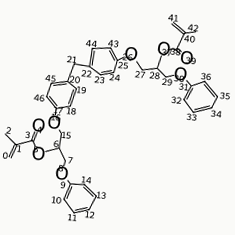 C=C(C)C(=O)OC(COc1ccccc1)COc1ccc(Cc2ccc(OCC(COc3ccccc3)OC(=O)C(=C)C)cc2)cc1